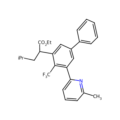 CCOC(=O)C(CC(C)C)c1cc(-c2ccccc2)cc(-c2cccc(C)n2)c1C(F)(F)F